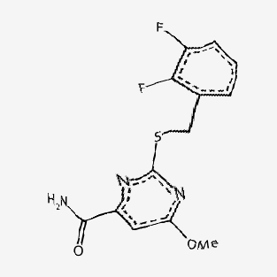 COc1cc(C(N)=O)nc(SCc2cccc(F)c2F)n1